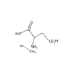 CC(=O)OC(=O)C(N)CC(=O)O.CCCC